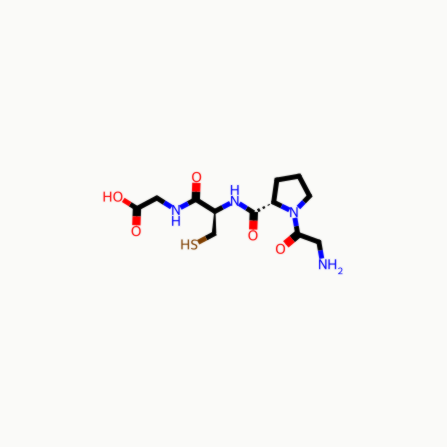 NCC(=O)N1CCC[C@H]1C(=O)N[C@@H](CS)C(=O)NCC(=O)O